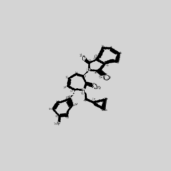 O=C1[C@H](N2C(=O)c3ccccc3C2=O)CC=C[C@@H](c2ccc(F)cc2)N1CC1CC1